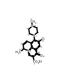 CCOC(=O)c1cn2c3c(c(N4CCN(C)CC4)c(Cl)cc3c1=O)C=CC2C